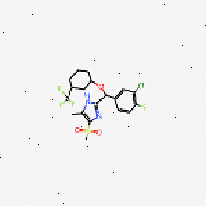 Cc1[nH]c(C(OC2CCCC(C(F)(F)F)C2)c2ccc(F)c(Cl)c2)nc1S(C)(=O)=O